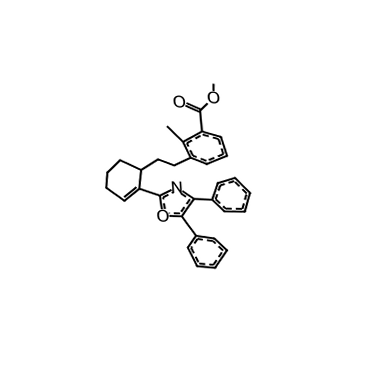 COC(=O)c1cccc(CCC2CCCC=C2c2nc(-c3ccccc3)c(-c3ccccc3)o2)c1C